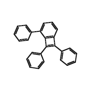 c1ccc(C2=C(c3ccccc3)c3c2cccc3-c2ccccc2)cc1